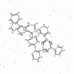 c1ccc(-c2nc(-c3ccccc3)nc(-c3ccccc3-c3ccccc3-c3cccc4c3sc3ccc5ccccc5c34)n2)cc1